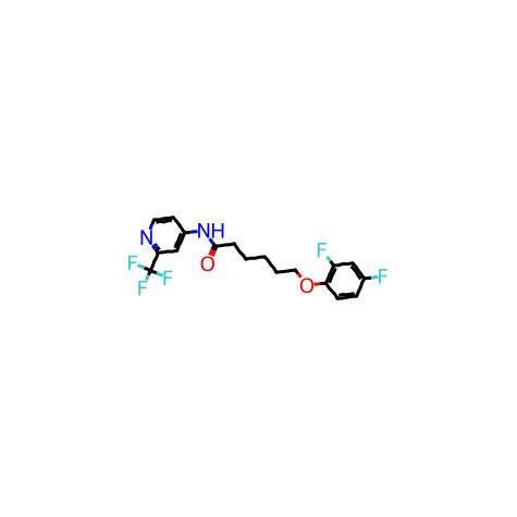 O=C(CCCCCOc1ccc(F)cc1F)Nc1ccnc(C(F)(F)F)c1